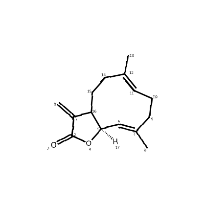 C=C1C(=O)O[C@@H]2/C=C(\C)CC/C=C(\C)CCC12